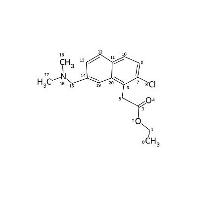 CCOC(=O)Cc1c(Cl)ccc2ccc(CN(C)C)cc12